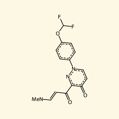 CNC=CC(=O)c1nn(-c2ccc(OC(F)F)cc2)ccc1=O